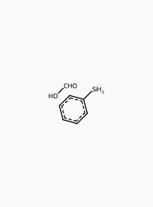 O=CO.[SiH3]c1ccccc1